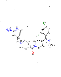 CON=C(c1ccc(F)cc1F)C1CCN(C(=O)C2CCN(Cc3ccnc(N)c3)CC2)CC1